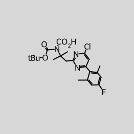 Cc1cc(F)cc(C)c1-c1cc(Cl)nc(CC(C)(C)N(C(=O)O)C(=O)OC(C)(C)C)n1